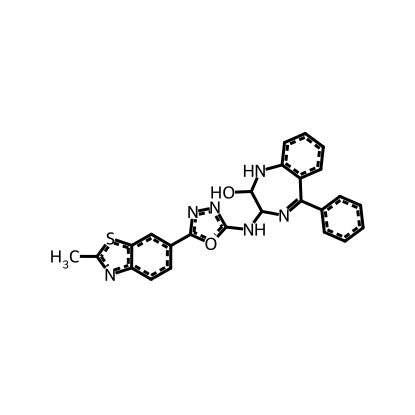 Cc1nc2ccc(-c3nnc(NC4N=C(c5ccccc5)c5ccccc5NC4O)o3)cc2s1